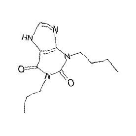 CCCCn1c(=O)n(CCC)c(=O)c2[nH]cnc21